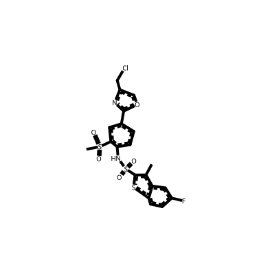 Cc1c(S(=O)(=O)Nc2ccc(-c3nc(CCl)co3)cc2S(C)(=O)=O)sc2ccc(F)cc12